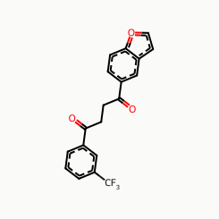 O=C(CCC(=O)c1ccc2occc2c1)c1cccc(C(F)(F)F)c1